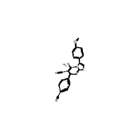 COc1ccc(C2=CSC3=NC(c4ccc(C#N)cc4)C(C#N)=C(N)N23)cc1